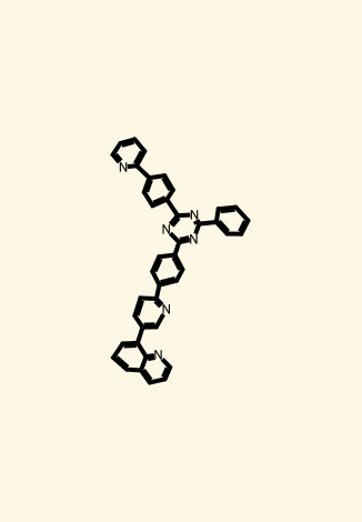 c1ccc(-c2nc(-c3ccc(-c4ccccn4)cc3)nc(-c3ccc(-c4ccc(-c5cccc6cccnc56)cn4)cc3)n2)cc1